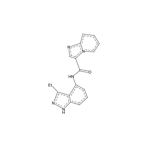 CCc1n[nH]c2cccc(NC(=O)c3cnc4ccccn34)c12